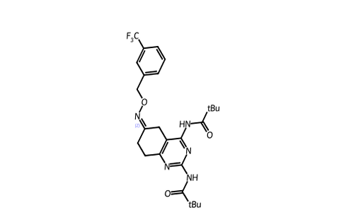 CC(C)(C)C(=O)Nc1nc2c(c(NC(=O)C(C)(C)C)n1)C/C(=N\OCc1cccc(C(F)(F)F)c1)CC2